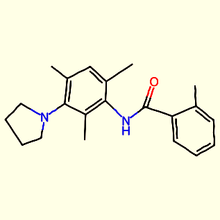 Cc1ccccc1C(=O)Nc1c(C)cc(C)c(N2CCCC2)c1C